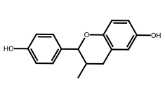 CC1Cc2cc(O)ccc2OC1c1ccc(O)cc1